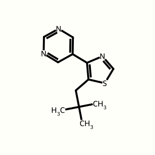 CC(C)(C)Cc1scnc1-c1cncnc1